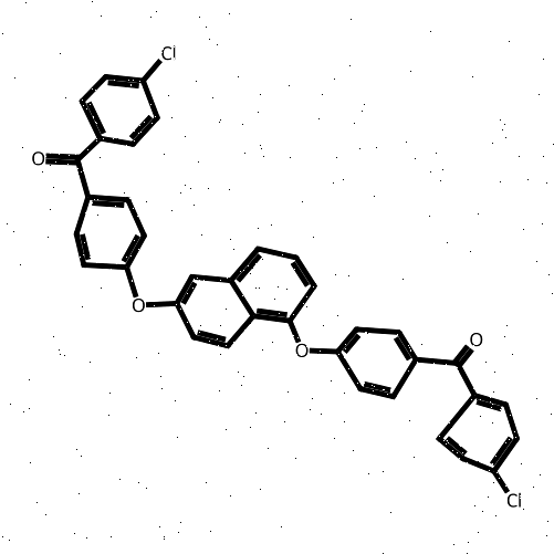 O=C(c1ccc(Cl)cc1)c1ccc(Oc2ccc3c(Oc4ccc(C(=O)c5ccc(Cl)cc5)cc4)cccc3c2)cc1